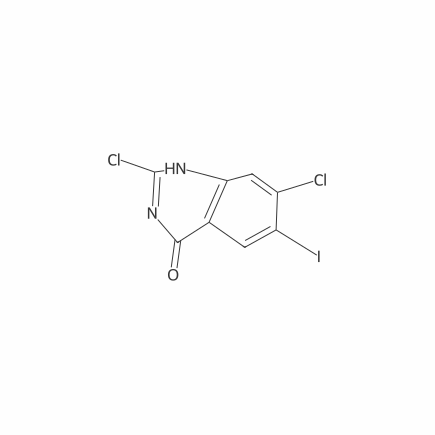 O=c1nc(Cl)[nH]c2cc(Cl)c(I)cc12